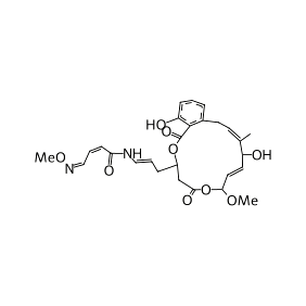 CO/N=C\C=C/C(=O)N/C=C/CC1CC(=O)OC(OC)/C=C/C(O)/C(C)=C\Cc2cccc(O)c2C(=O)O1